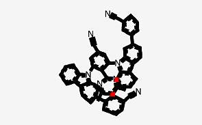 Cc1cc(C)nc(-c2c(-n3c4ccccc4c4ccc(-c5cccc(C#N)c5)cc43)cc(C#N)cc2-n2c3ccccc3c3ccc(-c4cccc(C#N)c4)cc32)n1